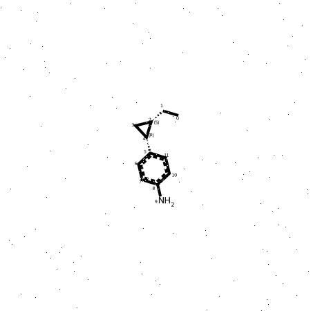 CC[C@H]1C[C@H]1c1ccc(N)cc1